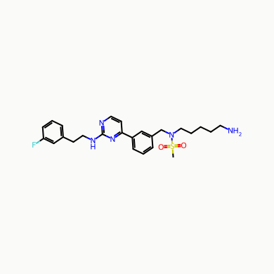 CS(=O)(=O)N(CCCCCN)Cc1cccc(-c2ccnc(NCCc3cccc(F)c3)n2)c1